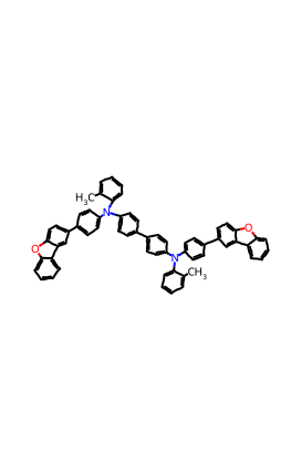 Cc1ccccc1N(c1ccc(-c2ccc(N(c3ccc(-c4ccc5oc6ccccc6c5c4)cc3)c3ccccc3C)cc2)cc1)c1ccc(-c2ccc3oc4ccccc4c3c2)cc1